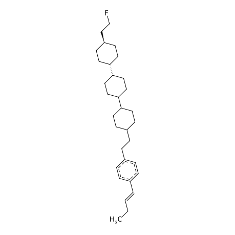 CC/C=C/c1ccc(CCC2CCC(C3CCC([C@H]4CC[C@H](CCF)CC4)CC3)CC2)cc1